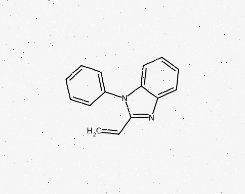 C=Cc1nc2ccccc2n1-c1ccccc1